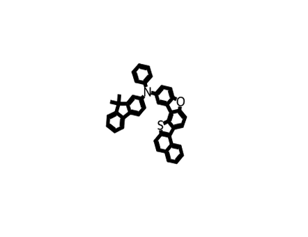 CC1(C)c2ccccc2-c2ccc(N(c3ccccc3)c3ccc4oc5ccc6c(sc7ccc8ccccc8c76)c5c4c3)cc21